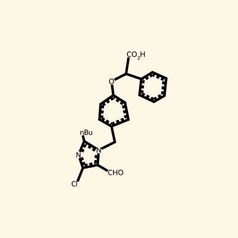 CCCCc1nc(Cl)c(C=O)n1Cc1ccc(OC(C(=O)O)c2ccccc2)cc1